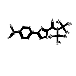 CC(C)(C)N(C(=O)c1nc(-c2ccc([N+](=O)[O-])cc2)cs1)C(C)(C)C